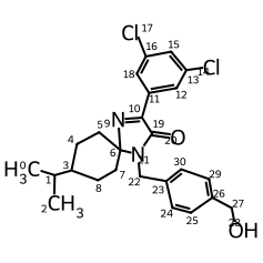 CC(C)C1CCC2(CC1)N=C(c1cc(Cl)cc(Cl)c1)C(=O)N2Cc1ccc(CO)cc1